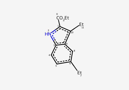 CCOC(=O)c1[nH]c2ccc(CC)cc2c1CC